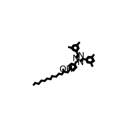 CCCCCCCCCCCC(O)Cc1ccc(-c2nc(-c3cc(C)cc(C)c3)nc(-c3cc(C)cc(C)c3)n2)cc1